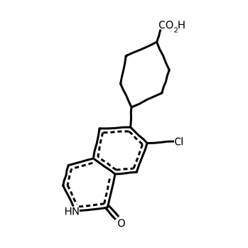 O=C(O)C1CCC(c2cc3cc[nH]c(=O)c3cc2Cl)CC1